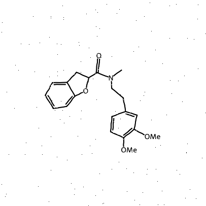 COc1ccc(CCN(C)C(=O)C2Cc3ccccc3O2)cc1OC